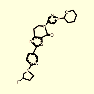 O=C1c2sc(-c3ccc(N4CC[C@@H](F)C4)nc3)nc2CCN1c1cnn(C2CCCCO2)c1